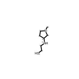 CN1CCC(NCCS)C1